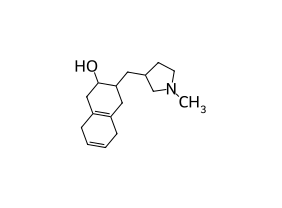 CN1CCC(CC2CC3=C(CC=CC3)CC2O)C1